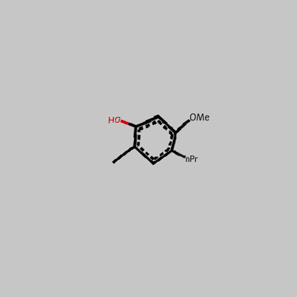 CCCc1cc(C)c(O)cc1OC